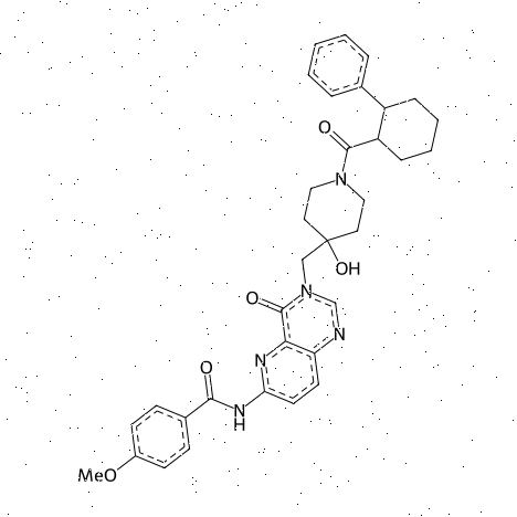 COc1ccc(C(=O)Nc2ccc3ncn(CC4(O)CCN(C(=O)C5CCCCC5c5ccccc5)CC4)c(=O)c3n2)cc1